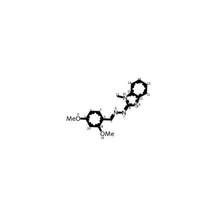 COc1ccc(/C=N/N=c2/sc3ccccc3n2C)c(OC)c1